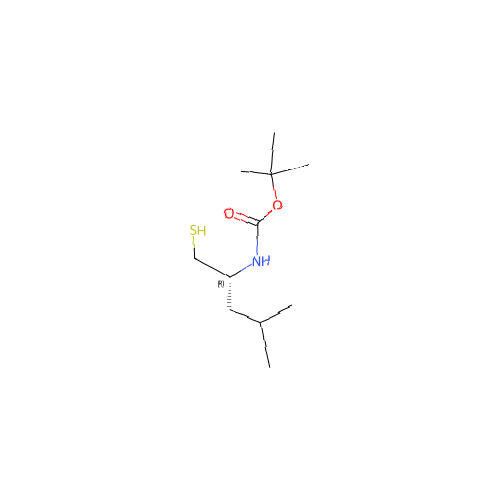 CC(C)C[C@H](CS)NC(=O)OC(C)(C)C